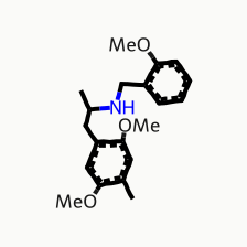 COc1cc(CC(C)NCc2ccccc2OC)c(OC)cc1C